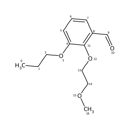 CCCOc1cccc(C=O)c1OCCOC